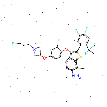 Cc1c(N)ccc2c(OC3=CC=C(OC4CN(CCCF)C4)CC3F)c(-c3cc(F)c(F)cc3C(C)(F)F)sc12